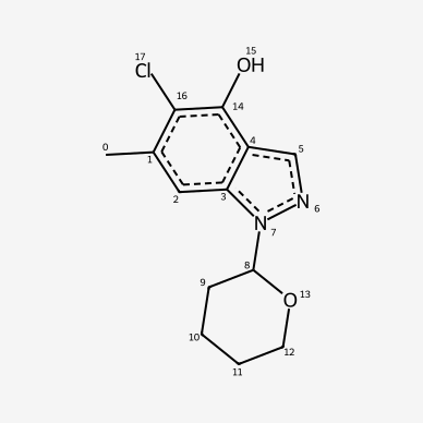 Cc1cc2c(cnn2C2CCCCO2)c(O)c1Cl